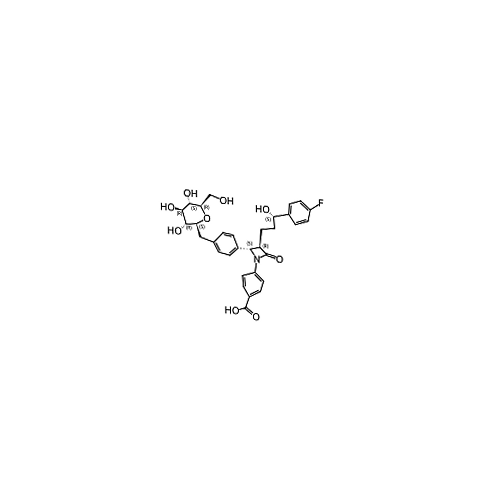 O=C(O)c1ccc(N2C(=O)[C@H](CC[C@H](O)c3ccc(F)cc3)[C@H]2c2ccc(C[C@@H]3O[C@H](CO)[C@@H](O)[C@H](O)[C@H]3O)cc2)cc1